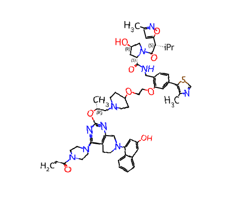 C=CC(=O)N1CCN(c2nc(O[C@H](C)CN3CCC(OCCOc4cc(-c5scnc5C)ccc4CNC(=O)[C@@H]4C[C@@H](O)CN4C(=O)[C@H](c4cc(C)no4)C(C)C)CC3)nc3c2CCN(c2cc(O)cc4ccccc24)C3)CC1